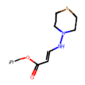 CC(C)OC(=O)C=CNN1CCSCC1